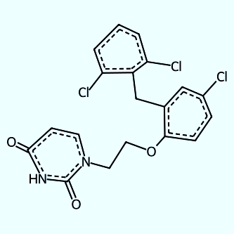 O=c1ccn(CCOc2ccc(Cl)cc2Cc2c(Cl)cccc2Cl)c(=O)[nH]1